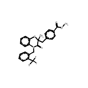 COC(=O)c1ccc(CC2(C)Sc3ccccc3N(Cc3ccccc3C(F)(F)F)C2=O)cc1